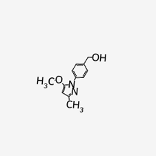 COc1cc(C)nn1-c1ccc(CO)cc1